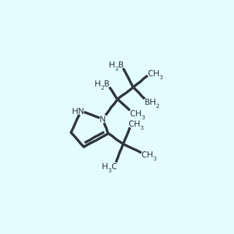 BC(B)(C)C(B)(C)N1NCC=C1C(C)(C)C